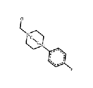 Fc1ccc([N+]23CC[N+](CCl)(CC2)CC3)cc1